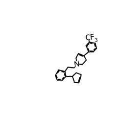 FC(F)(F)c1cccc(C2=CCN(CCc3ccccc3C3CC=CCC3)CC2)c1